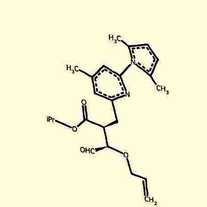 C=CCO[C@@H](C=O)[C@H](Cc1cc(C)cc(-n2c(C)ccc2C)n1)C(=O)OC(C)C